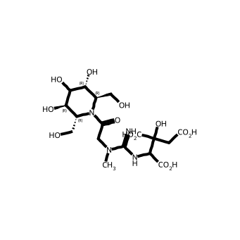 CN(CC(=O)N1[C@H](CO)[C@@H](O)C(O)[C@H](O)[C@H]1CO)C(=N)NC(C(=O)O)C(O)(CC(=O)O)C(=O)O